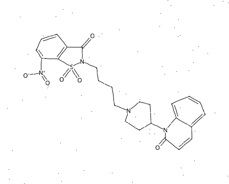 O=C1c2cccc([N+](=O)[O-])c2S(=O)(=O)N1CCCCN1CCC(n2c(=O)ccc3ccccc32)CC1